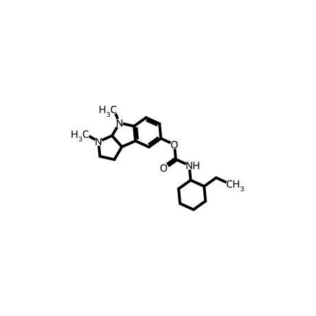 CCC1CCCCC1NC(=O)Oc1ccc2c(c1)C1CCN(C)C1N2C